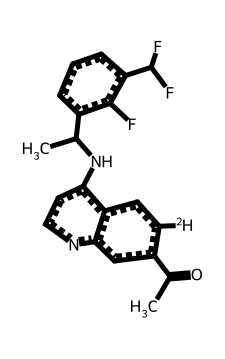 [2H]c1cc2c(NC(C)c3cccc(C(F)F)c3F)ccnc2cc1C(C)=O